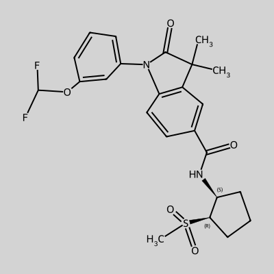 CC1(C)C(=O)N(c2cccc(OC(F)F)c2)c2ccc(C(=O)N[C@H]3CCC[C@H]3S(C)(=O)=O)cc21